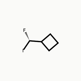 F[C@@H](I)C1CCC1